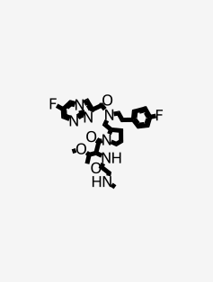 CNCC(=O)NC(C(=O)N1CCCC1CN(CCc1ccc(F)cc1)C(=O)c1cn2cc(F)cnc2n1)C(C)OC